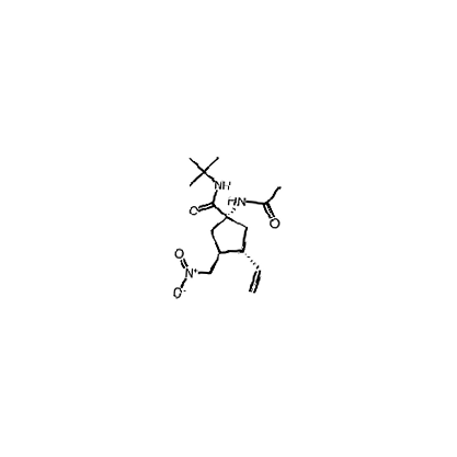 C=C[C@H]1C[C@](NC(C)=O)(C(=O)NC(C)(C)C)C[C@@H]1C[N+](=O)[O-]